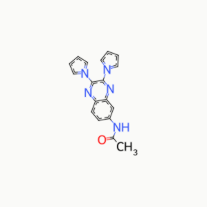 CC(=O)Nc1ccc2nc(-n3cccc3)c(-n3cccc3)nc2c1